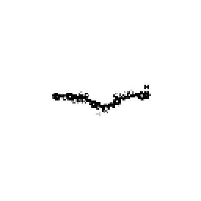 COc1cc(OCc2ccncc2)ccc1/C=C/C(=O)CC(=O)/C=C/c1ccc2[nH]c(-c3cncc(COc4ccc(/C=C/C(=O)CC(=O)/C=C/c5ccc6cc[nH]c6c5)c(OC)c4)c3)cc2c1